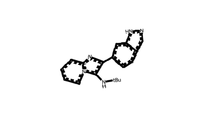 CC(C)(C)Nc1c(-c2ccc3cn[nH]c3c2)nc2ccccn12